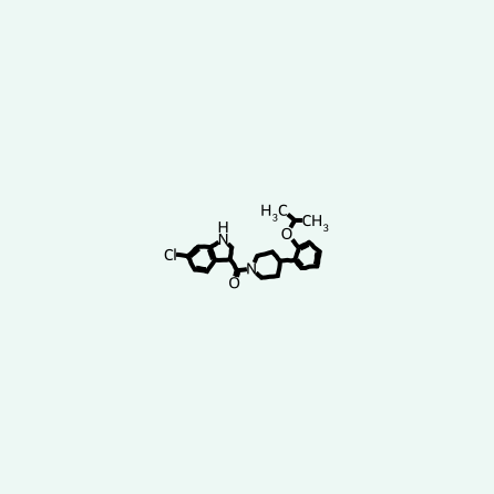 CC(C)Oc1ccccc1C1CCN(C(=O)C2CNc3cc(Cl)ccc32)CC1